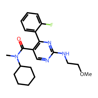 COCCNc1ncc(C(=O)N(C)C2CCCCC2)c(-c2ccccc2F)n1